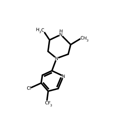 CC1CN(c2cc(Cl)c(C(F)(F)F)cn2)CC(C)N1